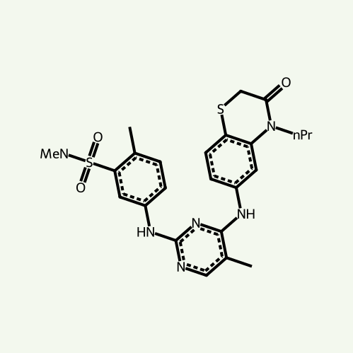 CCCN1C(=O)CSc2ccc(Nc3nc(Nc4ccc(C)c(S(=O)(=O)NC)c4)ncc3C)cc21